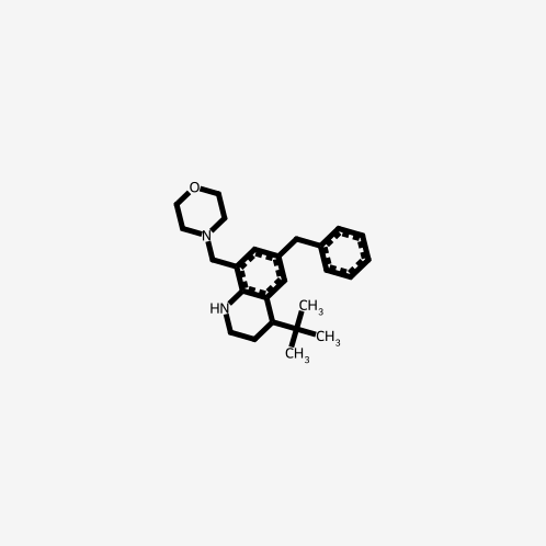 CC(C)(C)C1CCNc2c(CN3CCOCC3)cc(Cc3ccccc3)cc21